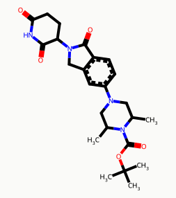 CC1CN(c2ccc3c(c2)CN(C2CCC(=O)NC2=O)C3=O)CC(C)N1C(=O)OC(C)(C)C